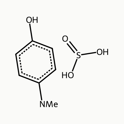 CNc1ccc(O)cc1.O=S(O)O